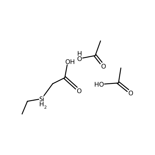 CC(=O)O.CC(=O)O.CC[SiH2]CC(=O)O